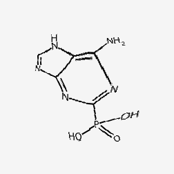 Nc1nc(P(=O)(O)O)nc2nc[nH]c12